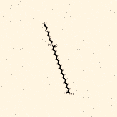 O=CCOCCOCCNC(=O)CCCCCCCCCCCCCCCCCCC(=O)O